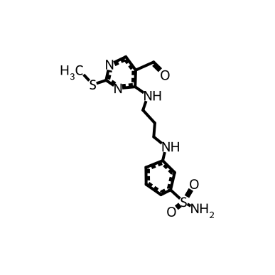 CSc1ncc(C=O)c(NCCCNc2cccc(S(N)(=O)=O)c2)n1